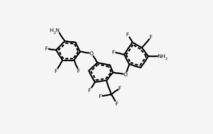 Nc1cc(Oc2cc(F)c(C(F)(F)F)c(Oc3cc(N)c(F)c(F)c3F)c2)c(F)c(F)c1F